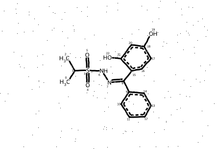 CC(C)S(=O)(=O)NN=C(c1ccccc1)c1ccc(O)cc1O